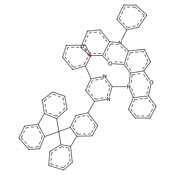 c1ccc(-c2cc(-c3ccc4c(c3)C3(c5ccccc5-c5ccccc53)c3ccccc3-4)nc(-n3c4ccccc4oc4ccc5c(oc6ccccc6n5-c5ccccc5)c43)n2)cc1